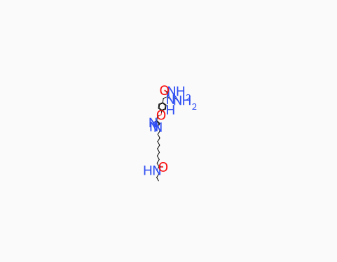 CCCNC(=O)CCCCCCCCCCn1cc(COc2ccc(C[C@H](NCN)C(N)=O)cc2)nn1